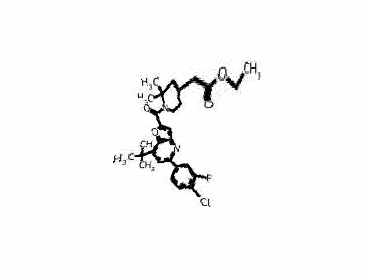 CCOC(=O)CC1CCN(C(=O)c2cc3nc(-c4ccc(Cl)c(F)c4)cc(C(C)(C)C)c3o2)C(C)(C)C1